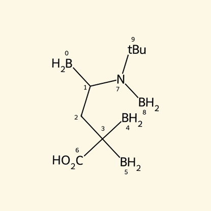 BC(CC(B)(B)C(=O)O)N(B)C(C)(C)C